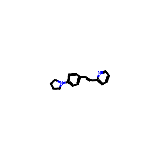 C(=C\c1ccccn1)/c1ccc(N2CCCC2)cc1